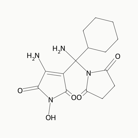 NC1=C(C(N)(C2CCCCC2)N2C(=O)CCC2=O)C(=O)N(O)C1=O